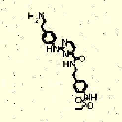 CCS(=O)(=O)Nc1ccc(CCNC(=O)c2ccnc(Nc3ccc(CCN)cc3)n2)cc1